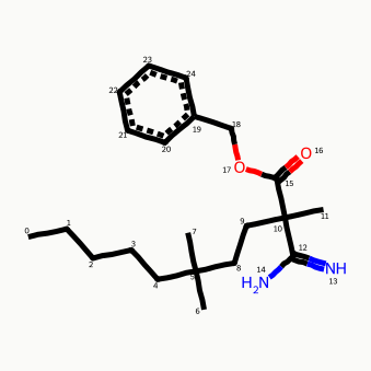 CCCCCC(C)(C)CCC(C)(C(=N)N)C(=O)OCc1ccccc1